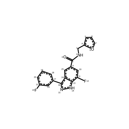 O=C(NCc1ccco1)c1cc(F)c2[nH]nc(-c3cccc(F)c3)c2c1